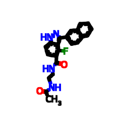 CC(=O)NCCNC(=O)c1ccc2[nH]nc(-c3ccc4ccccc4c3)c2c1F